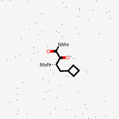 CNC(=O)C(=O)[C@H](CC1CCC1)NC